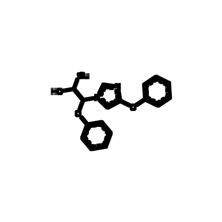 CC(C)(C)C(O)C(Oc1ccccc1)n1cnc(Oc2ccccc2)c1